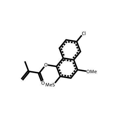 C=C(C)C(=O)Oc1c(SC)cc(OC)c2cc(Cl)ccc12